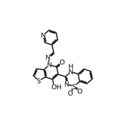 O=c1c(C2=NS(=O)(=O)c3ccccc3N2)c(O)c2sccc2n1N=Cc1cccnc1